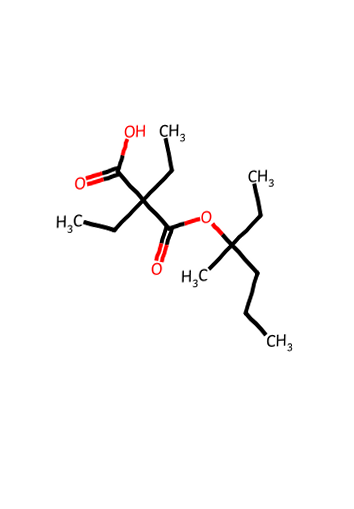 CCCC(C)(CC)OC(=O)C(CC)(CC)C(=O)O